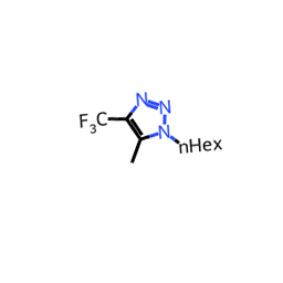 CCCCCCn1nnc(C(F)(F)F)c1C